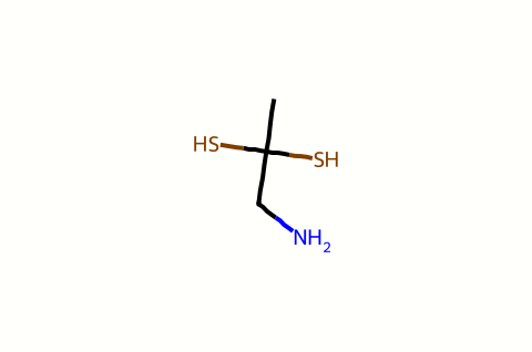 CC(S)(S)CN